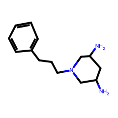 NC1CC(N)CN(CCCc2ccccc2)C1